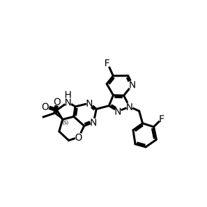 CC(=O)[C@]12CCOc3nc(-c4nn(Cc5ccccc5F)c5ncc(F)cc45)nc(c31)NC2=O